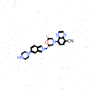 C[C@@H]1CN(c2ccc(C#N)c3nccnc23)C[C@H](Cn2cc3ccc(N4CCNCC4)cc3c2)O1